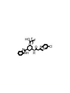 O=C(Cc1cn2cc(Cl)ccc2n1)NC1CCCC(c2nc3ccccc3[nH]2)C1.O=C(O)C(F)(F)F